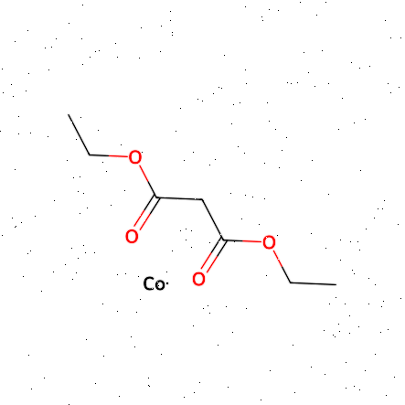 CCOC(=O)CC(=O)OCC.[Co]